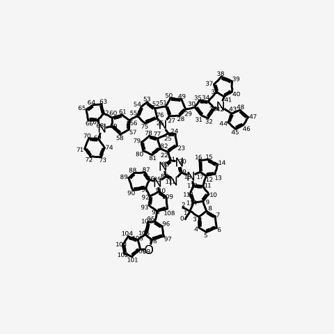 CC1(C)c2ccccc2-c2cc3c4ccccc4n(-c4nc(-c5ccc(-n6c7cc(-c8ccc9c(c8)c8ccccc8n9-c8ccccc8)ccc7c7ccc(-c8ccc9c(c8)c8ccccc8n9-c8ccccc8)cc76)c6ccccc56)nc(-n5c6ccccc6c6cc(-c7ccc8oc9ccccc9c8c7)ccc65)n4)c3cc21